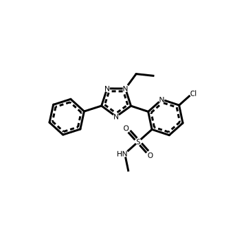 CCn1nc(-c2ccccc2)nc1-c1nc(Cl)ccc1S(=O)(=O)NC